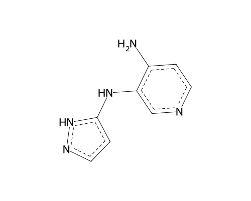 Nc1ccncc1Nc1ccn[nH]1